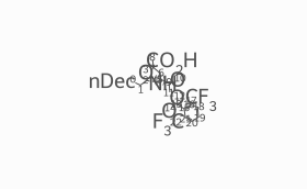 CCCCCCCCCCCC(=O)N[C@@H](CCC(=O)O)C(=O)COC(=O)c1c(C(F)(F)F)cccc1C(F)(F)F